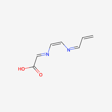 C=C\C=N/C=C\N=C\C(=O)O